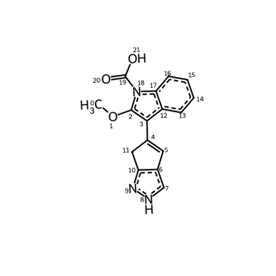 COc1c(C2=Cc3c[nH]nc3C2)c2ccccc2n1C(=O)O